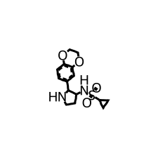 O=S(=O)(NC1CCNC1c1ccc2c(c1)OCCO2)C1CC1